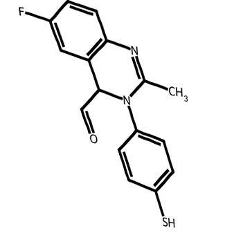 CC1=Nc2ccc(F)cc2C(C=O)N1c1ccc(S)cc1